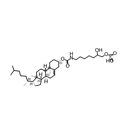 CC(C)CCC[C@@H](C)[C@H]1CC[C@H]2[C@@H]3CC=C4C[C@@H](OC(=O)NCCCCCC(O)CO[PH](=O)O)CC[C@]4(C)[C@H]3CC[C@]12C